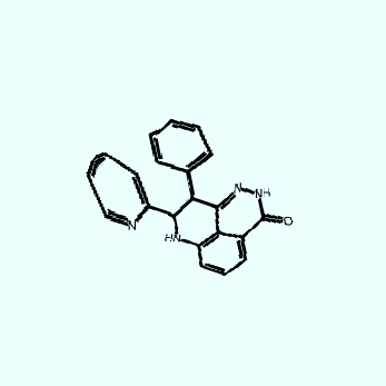 O=c1[nH]nc2c3c(cccc13)NC(c1ccccn1)C2c1ccccc1